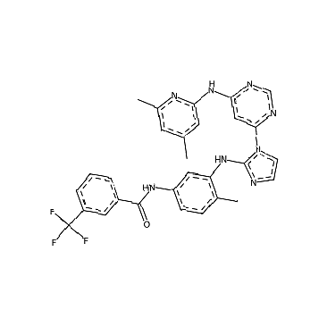 Cc1cc(C)nc(Nc2cc(-n3ccnc3Nc3cc(NC(=O)c4cccc(C(F)(F)F)c4)ccc3C)ncn2)c1